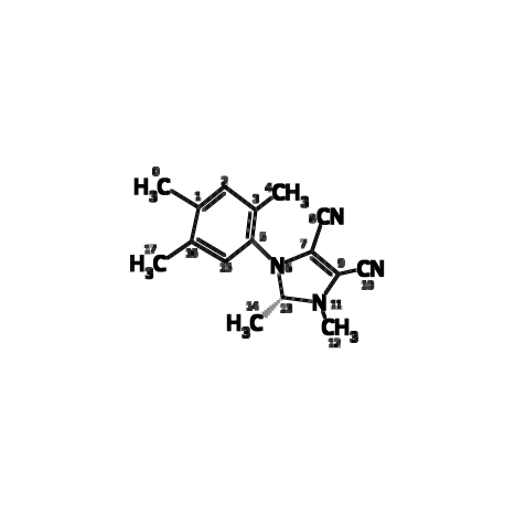 Cc1cc(C)c(N2C(C#N)=C(C#N)N(C)[C@@H]2C)cc1C